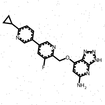 Nc1cc(OCc2ncc(-c3ccc(C4CC4)nc3)cc2F)c2nn[nH]c2n1